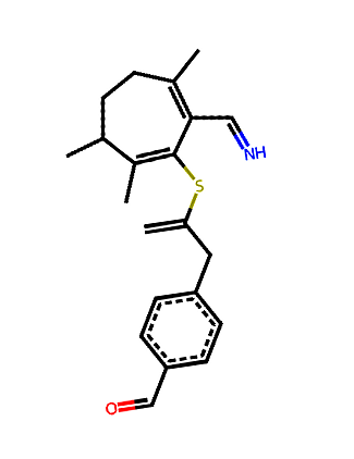 C=C(Cc1ccc(C=O)cc1)SC1=C(C)C(C)CCC(C)=C1C=N